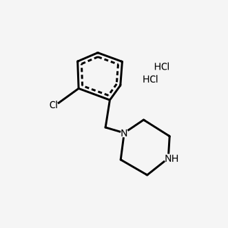 Cl.Cl.Clc1ccccc1CN1CCNCC1